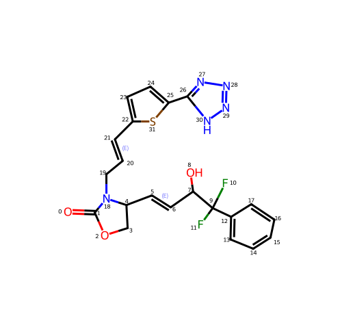 O=C1OCC(/C=C/C(O)C(F)(F)c2ccccc2)N1C/C=C/c1ccc(-c2nnn[nH]2)s1